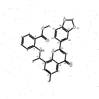 COC(=O)c1ccccc1NC(C)c1cc(C)cc2c(=O)cc(-c3ccc4c(c3)OCO4)oc12